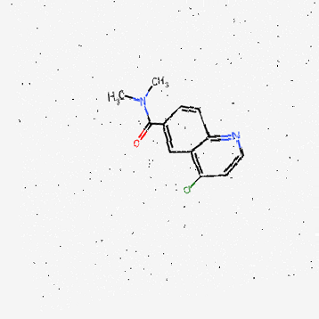 CN(C)C(=O)c1ccc2nccc(Cl)c2c1